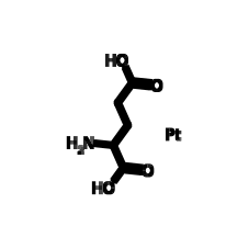 NC(CCC(=O)O)C(=O)O.[Pt]